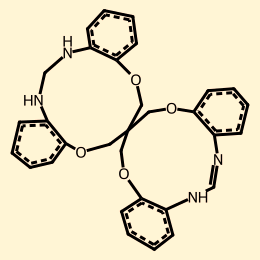 C1=N\c2ccccc2OCC2(COc3ccccc3N/1)COc1ccccc1NCNc1ccccc1OC2